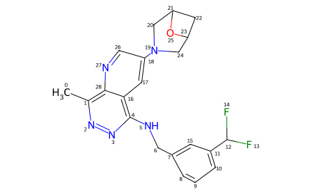 Cc1nnc(NCc2cccc(C(F)F)c2)c2cc(N3CC4CC(C3)O4)cnc12